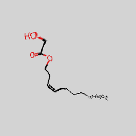 CCCCCCCCCC/C=C\CCOC(=O)CO